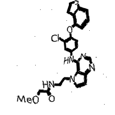 COCC(=O)NCCn1ccc2ncnc(Nc3ccc(Oc4cccc5sccc45)c(Cl)c3)c21